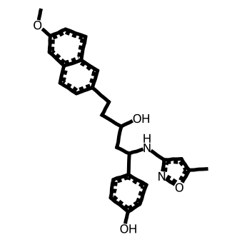 COc1ccc2cc(CCC(O)CC(Nc3cc(C)on3)c3ccc(O)cc3)ccc2c1